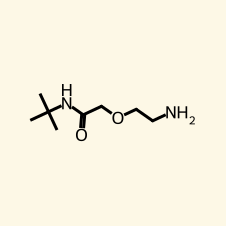 CC(C)(C)NC(=O)COCCN